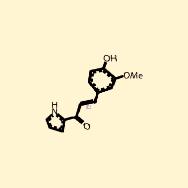 COc1cc(/C=C/C(=O)c2ccc[nH]2)ccc1O